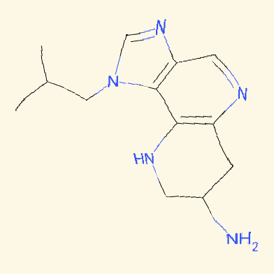 CC(C)Cn1cnc2cnc3c(c21)NCC(N)C3